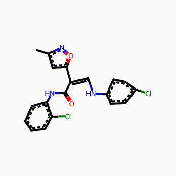 Cc1cc(C(=CNc2ccc(Cl)cc2)C(=O)Nc2ccccc2Cl)on1